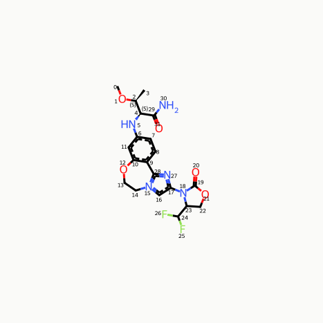 CO[C@@H](C)[C@H](Nc1ccc2c(c1)OCCn1cc(N3C(=O)OCC3C(F)F)nc1-2)C(N)=O